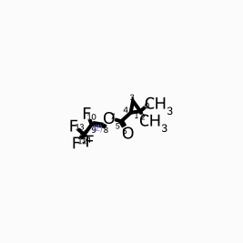 CC1(C)CC1C(=O)O/C=C(\F)C(F)(F)F